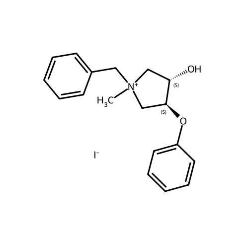 C[N+]1(Cc2ccccc2)C[C@H](Oc2ccccc2)[C@@H](O)C1.[I-]